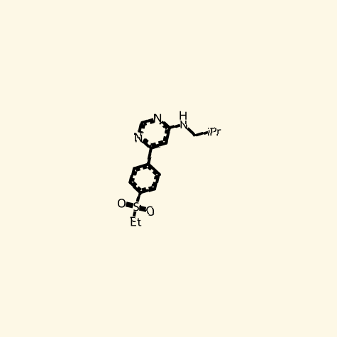 CCS(=O)(=O)c1ccc(-c2cc(NCC(C)C)ncn2)cc1